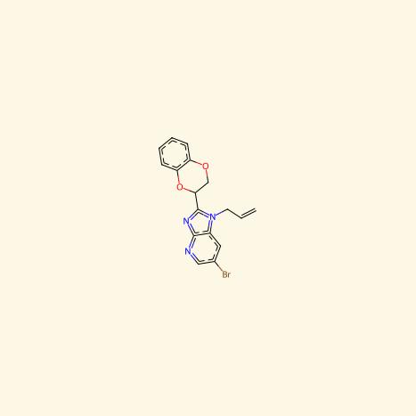 C=CCn1c(C2COc3ccccc3O2)nc2ncc(Br)cc21